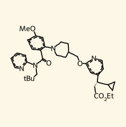 CCOC(=O)C[C@H](c1ccnc(OCC2CCN(c3cc(OC)ccc3C(=O)N(CC(C)(C)C)c3ccccn3)CC2)c1)C1CC1